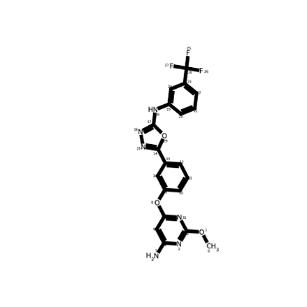 COc1nc(N)cc(Oc2cccc(-c3nnc(Nc4cccc(C(F)(F)F)c4)o3)c2)n1